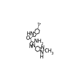 Cc1nc2cc(-n3ncc(C(=O)c4cc5ccc(C6CC6)cc5[nH]4)c3N)ccc2[nH]1